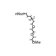 CCCCCCCCCCCC[N+](C)(C)CCOCCOCCOC